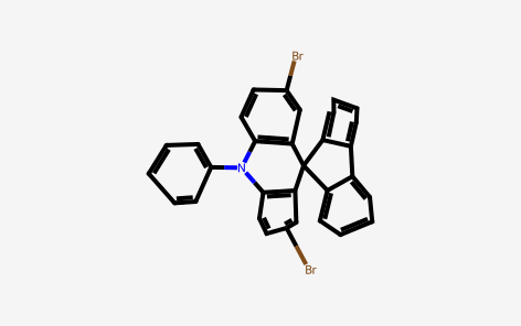 Brc1ccc2c(c1)C1(c3ccccc3-c3ccccc31)c1cc(Br)ccc1N2c1ccccc1